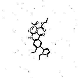 CCOC(=O)N(n1c(=O)[nH]c2cc(CC)c(-c3ccnn3CC)cc2c1=O)S(C)(=O)=O